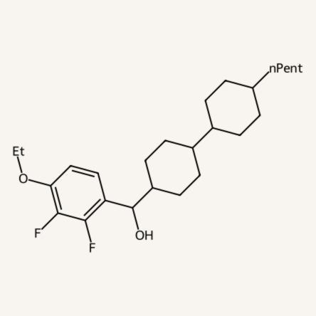 CCCCCC1CCC(C2CCC(C(O)c3ccc(OCC)c(F)c3F)CC2)CC1